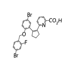 O=C(O)c1cccc(C2=C(c3cc(Br)ccc3OCc3ccc(Br)cc3F)CCC2)n1